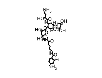 CCc1cc(N)ccc1C(=O)NCCCCC(=O)NC[C@H]1O[C@H](O[C@@H]2C[C@@H]3O[C@@H]4[C@H](O)C[C@H](O)CN4[C@H]3CC2NC(=O)[C@@H](O)CCN)[C@H](O)C[C@@H]1O